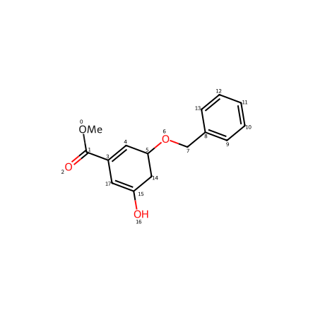 COC(=O)C1=CC(OCc2ccccc2)CC(O)=C1